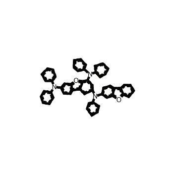 c1ccc(N(c2ccccc2)c2ccc3c(c2)oc2c(N(c4ccccc4)c4ccccc4)cc(N(c4ccccc4)c4ccc5c(c4)oc4ccccc45)cc23)cc1